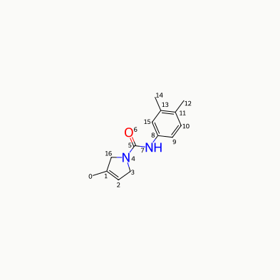 CC1=CCN(C(=O)Nc2ccc(C)c(C)c2)C1